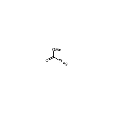 CCC(=O)OC.[Ag]